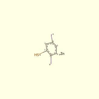 Sc1cc(I)ccc1I.[Zn]